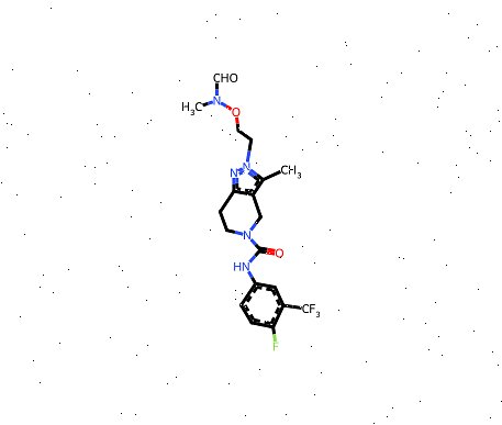 Cc1c2c(nn1CCON(C)C=O)CCN(C(=O)Nc1ccc(F)c(C(F)(F)F)c1)C2